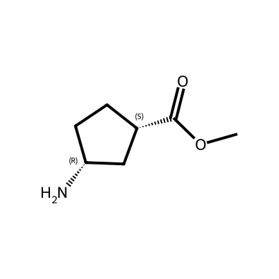 COC(=O)[C@H]1CC[C@@H](N)C1